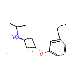 CCc1cccc(O[C@H]2C[C@H](NC(C)C)C2)c1